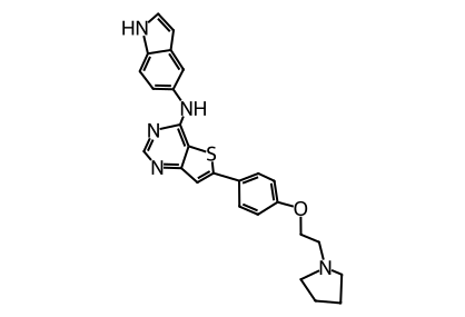 c1nc(Nc2ccc3[nH]ccc3c2)c2sc(-c3ccc(OCCN4CCCC4)cc3)cc2n1